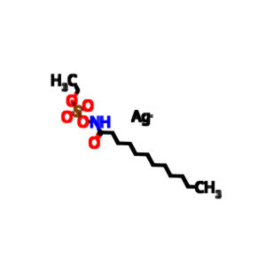 CCCCCCCCCCCC(=O)NOS(=O)(=O)OCC.[Ag]